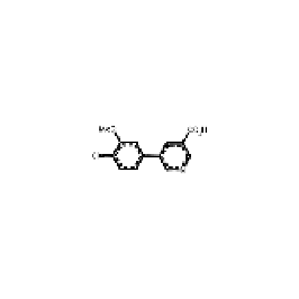 COc1cc(-c2cncc(C(=O)O)c2)ccc1Cl